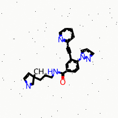 CC1(CCCNC(=O)c2ccc(-n3cccn3)c(C#Cc3ccccn3)c2)C=CN=C1